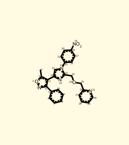 Cc1onc(-c2ccccc2)c1-c1cn(-c2ccc([N+](=O)[O-])cc2)c(COCc2ccccn2)n1